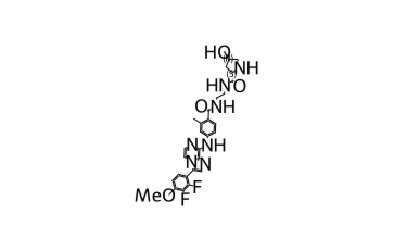 COc1ccc(-c2cnc3c(Nc4ccc(C(=O)NCCNC(=O)[C@@H]5C[C@@H](O)CN5)c(C)c4)nccn23)c(F)c1F